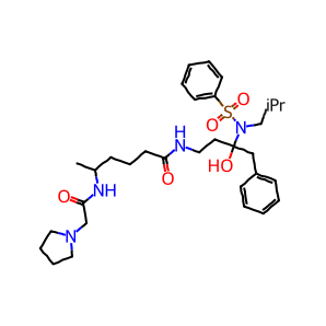 CC(C)CN(C(O)(CCNC(=O)CCCC(C)NC(=O)CN1CCCC1)Cc1ccccc1)S(=O)(=O)c1ccccc1